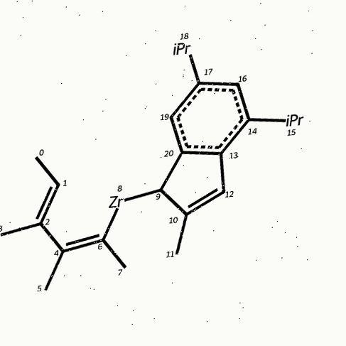 CC=C(C)C(C)=[C](C)[Zr][CH]1C(C)=Cc2c(C(C)C)cc(C(C)C)cc21